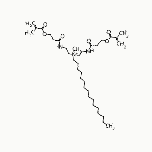 C=C(C)C(=O)OCCC(=O)NCC[N+](C)(CCCCCCCCCCCCCCCC)CCNC(=O)CCOC(=O)C(=C)C.[I-]